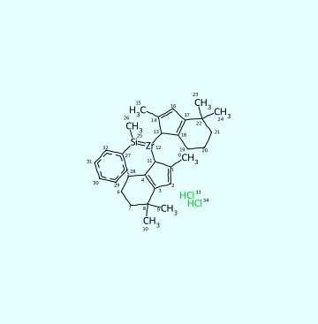 CC1=CC2=C(CCCC2(C)C)[CH]1[Zr]([CH]1C(C)=CC2=C1CCCC2(C)C)=[Si](C)c1ccccc1.Cl.Cl